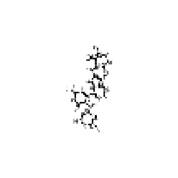 Cc1cc(Cl)cc(-c2ncnn3cc(CN4C(=O)CCN(C)C4=O)cc23)c1CC1CNC[C@H](C)O1